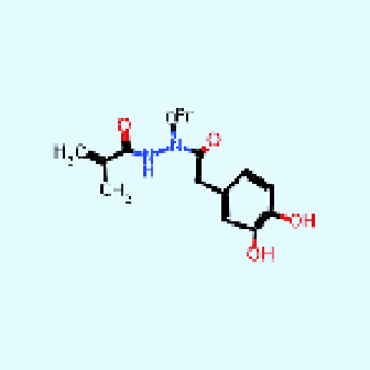 C=C(C)C(=O)NN(CCC)C(=O)Cc1ccc(O)c(O)c1